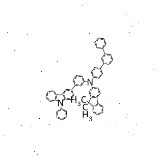 CC1(C)c2ccccc2-c2ccc(N(c3ccc(-c4cccc(-c5ccccc5)c4)cc3)c3cccc(-c4ccc5c(c4)c4ccccc4n5-c4ccccc4)c3)cc21